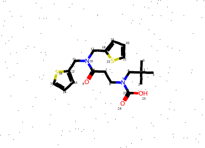 CC(C)(C)CN(CCC(=O)N(Cc1cccs1)Cc1cccs1)C(=O)O